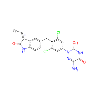 CC(C)/C=C1\C(=O)Nc2ccc(Cc3c(Cl)cc(N4N=C(N)C(=O)NC4O)cc3Cl)cc21